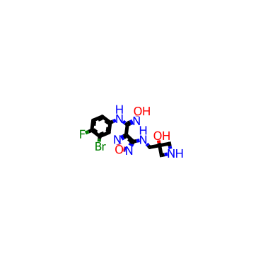 O/N=C(\Nc1ccc(F)c(Br)c1)c1nonc1NCC1(O)CNC1